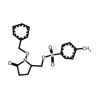 Cc1ccc(S(=O)(=O)OCC2CCC(=O)N2OCc2ccccc2)cc1